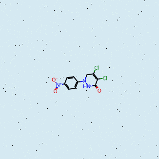 O=C1NN(c2ccc([N+](=O)[O-])cc2)CC(Cl)=C1Cl